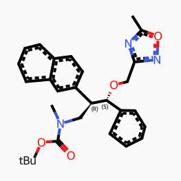 Cc1nc(CO[C@H](c2ccccc2)[C@@H](CN(C)C(=O)OC(C)(C)C)c2ccc3ccccc3c2)no1